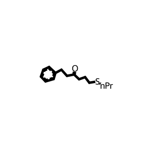 CCCSCCCC(=O)CCc1ccccc1